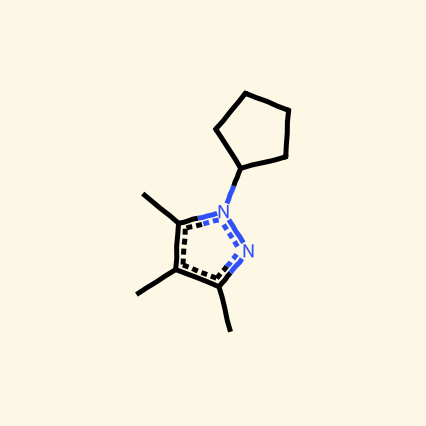 Cc1nn(C2CCCC2)c(C)c1C